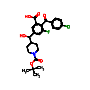 CC(C)(C)OC(=O)N1CCC(C(O)c2cc(F)c(C(=O)c3ccc(Cl)cc3)c(C(=O)O)c2)CC1